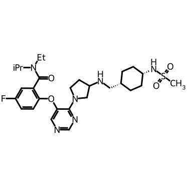 CCN(C(=O)c1cc(F)ccc1Oc1cncnc1N1CCC(NC[C@H]2CC[C@@H](NS(C)(=O)=O)CC2)C1)C(C)C